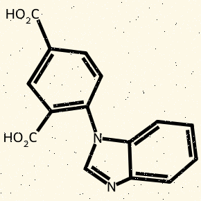 O=C(O)c1ccc(-n2cnc3ccccc32)c(C(=O)O)c1